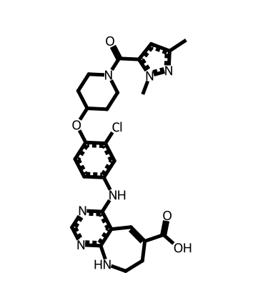 Cc1cc(C(=O)N2CCC(Oc3ccc(Nc4ncnc5c4C=C(C(=O)O)CCN5)cc3Cl)CC2)n(C)n1